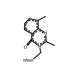 CCCCCCCCCCn1c(C)nc2c(C)cccc2c1=O